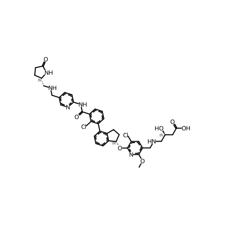 COc1nc(O[C@H]2CCc3c(-c4cccc(C(=O)Nc5ccc(CNC[C@@H]6CCC(=O)N6)cn5)c4Cl)cccc32)c(Cl)cc1CNC[C@@H](O)CC(=O)O